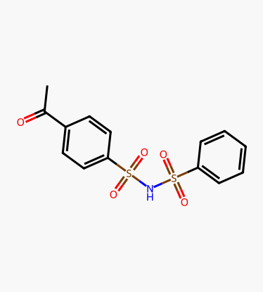 CC(=O)c1ccc(S(=O)(=O)NS(=O)(=O)c2ccccc2)cc1